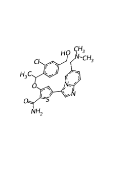 CC(Oc1cc(-c2cnc3ccc(CN(C)C)cn23)sc1C(N)=O)c1ccc(CO)cc1Cl